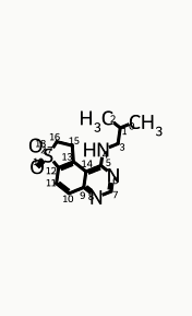 CC(C)CNc1ncnc2ccc3c(c12)CCS3(=O)=O